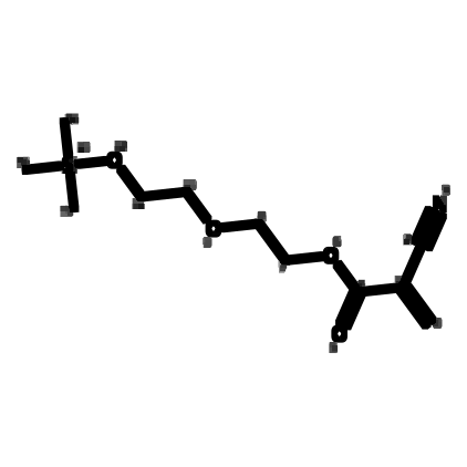 C=C(C#N)C(=O)OCCOCCO[Si](C)(C)C